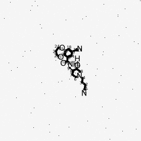 N#CCCCN1CC[C@@H](CNC(=O)c2cc(C#N)cc3c2OCCCO3)C(O)C1